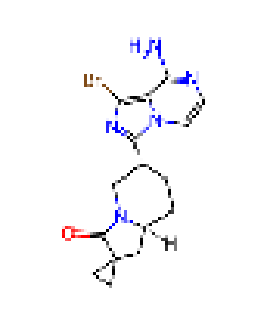 Nc1nccn2c([C@@H]3CC[C@H]4CC5(CC5)C(=O)N4C3)nc(Br)c12